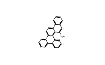 O=[N+]([O-])c1cc2ccccc2c2ccc3c4ccccc4c4ccccc4c3c12